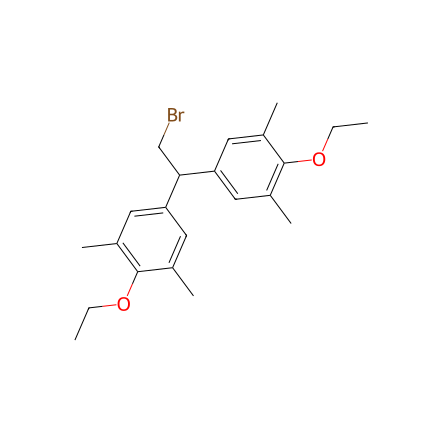 CCOc1c(C)cc(C(CBr)c2cc(C)c(OCC)c(C)c2)cc1C